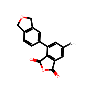 O=C1OC(=O)c2c1cc(C(F)(F)F)cc2-c1ccc2c(c1)COC2